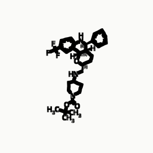 CC(C)(C)OC(=O)N1CCC(NC[C@H]2CC[C@@H]3[C@H](O2)c2cc(C(F)(F)F)ccc2N[C@H]3c2ccccc2)CC1